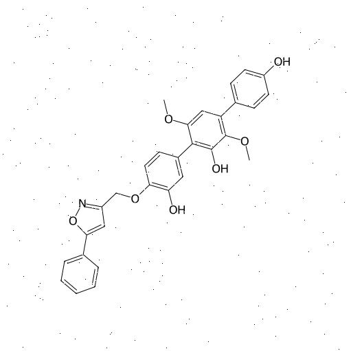 COc1cc(-c2ccc(O)cc2)c(OC)c(O)c1-c1ccc(OCc2cc(-c3ccccc3)on2)c(O)c1